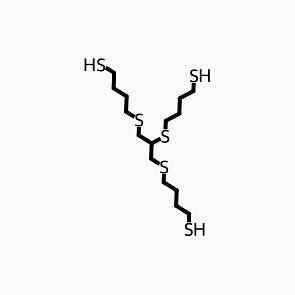 SCCCCSCC(CSCCCCS)SCCCCS